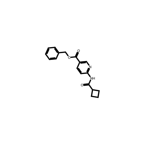 O=C(OCc1ccccc1)c1ccc(NC(=O)C2CCC2)nc1